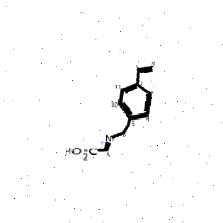 C=Cc1ccc(C/N=C/C(=O)O)cc1